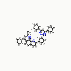 CCc1cc(-c2ccccc2)c2ccc3ccc(-c4cccc(-c5nc(-c6ccccc6)cc(-c6ccccc6)n5)c4)nc3c2n1